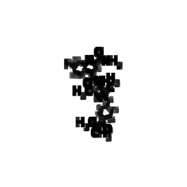 Cc1nn(Cc2ccc(C(=O)N(C)C)cc2)c(C)c1NC(=O)c1cc(C(N)=O)nc2cc(F)ccc12